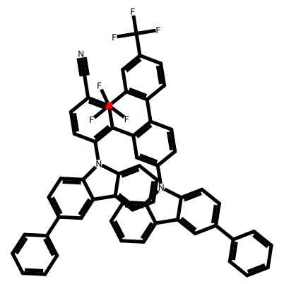 N#Cc1ccc(-n2c3ccccc3c3cc(-c4ccccc4)ccc32)c(-c2cc(-n3c4ccccc4c4cc(-c5ccccc5)ccc43)ccc2-c2ccc(C(F)(F)F)cc2C(F)(F)F)c1